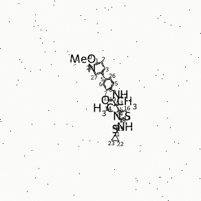 COc1ccc(-c2ccc(NC(=O)C(C)(C)c3csc(NSC4CC4)n3)cc2)cn1